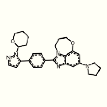 c1cc(-c2ccc(-c3nc4cc(N5CCCC5)cc5c4n3CCCO5)cc2)n(C2CCCCO2)n1